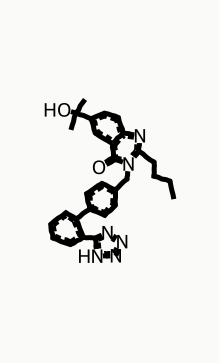 CCCCc1nc2ccc(C(C)(C)O)cc2c(=O)n1Cc1ccc(-c2ccccc2-c2nnn[nH]2)cc1